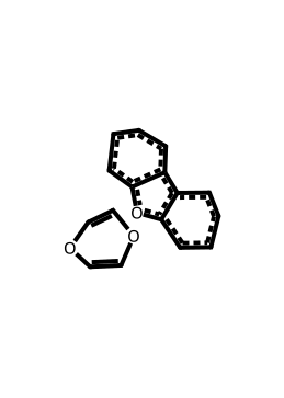 C1=COC=CO1.c1ccc2c(c1)oc1ccccc12